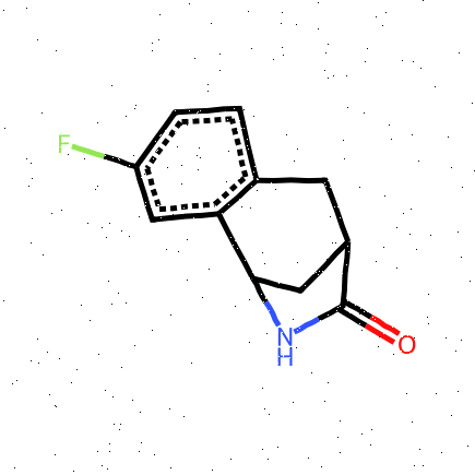 O=C1NC2CC1Cc1ccc(F)cc12